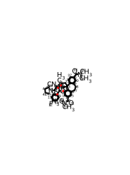 C[C@H](CC1(c2nnc(-c3ccc(F)cc3)o2)c2ccc(C(=O)N(C)C)cc2CCc2cc(C(=O)N(C)C)ccc21)NCC(=O)N1CCC[C@H]1C#N